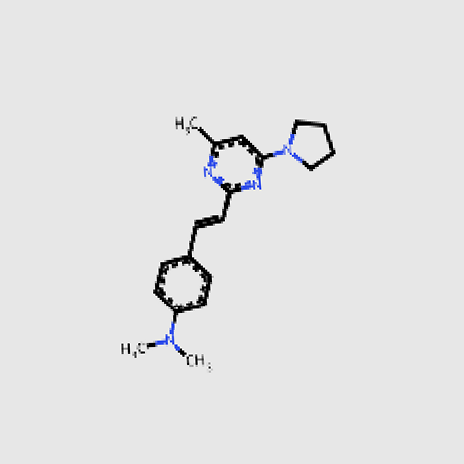 Cc1cc(N2CCCC2)nc(C=Cc2ccc(N(C)C)cc2)n1